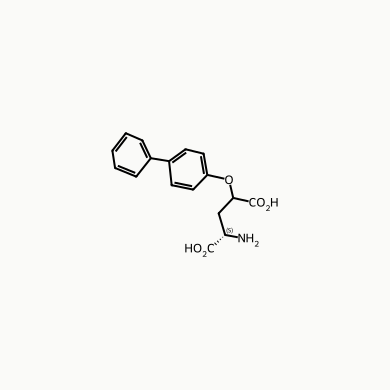 N[C@@H](CC(Oc1ccc(-c2ccccc2)cc1)C(=O)O)C(=O)O